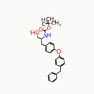 CC(C)(C)OC(=O)NC(CO)Cc1ccc(Oc2ccc(Cc3ccccc3)cc2)cc1